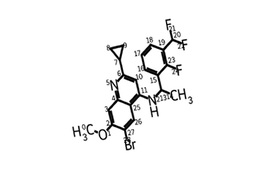 COc1cc2nc(C3CC3)cc(NC(C)c3cccc(C(F)F)c3F)c2cc1Br